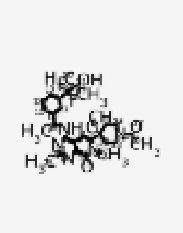 COC1(c2cc3c(N[C@H](C)c4cccc(C(F)(F)C(C)(C)O)c4)nc(C)nc3c(=O)n2C)CCN(C(C)=O)CC1